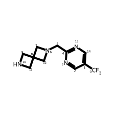 FC(F)(F)c1cnc(CN2CC3(CNC3)C2)nc1